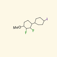 COC1CCC(C2CCC(I)CC2)C(F)C1F